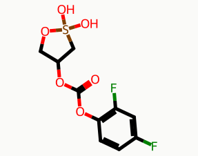 O=C(Oc1ccc(F)cc1F)OC1COS(O)(O)C1